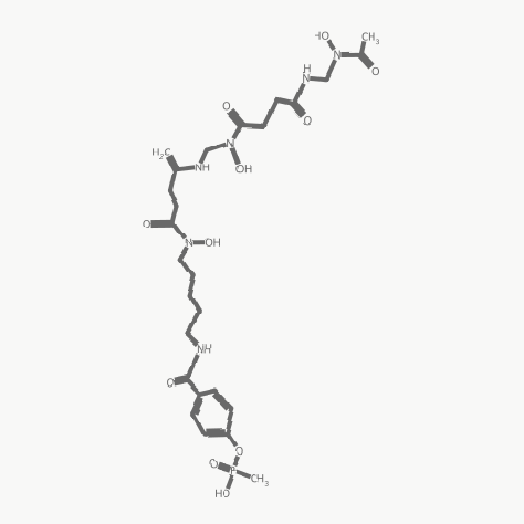 C=C(CCC(=O)N(O)CCCCCNC(=O)c1ccc(OP(C)(=O)O)cc1)NCN(O)C(=O)CCC(=O)NCN(O)C(C)=O